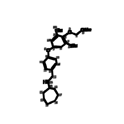 COCOc1c(C(C)(C)C)cc(Oc2ccc(CNC3CCCCCC3)cc2)cc1C(C)(C)C